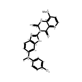 COc1ccnc2c(=O)n(-c3nc4ccc(N(C)c5ccc(Cl)cc5)cc4s3)c(=S)oc12